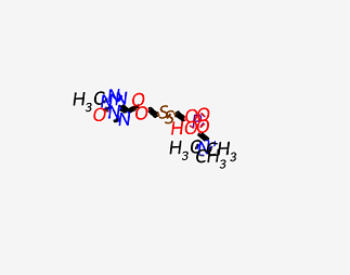 Cn1nnc2c(C(=O)OCCSSCCOP(=O)(O)OCC[N+](C)(C)C)ncn2c1=O